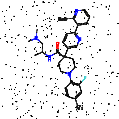 COc1ncccc1-c1ccc(C2(C(=O)NC(C)CN(C)C)CCN(c3ccc(C(F)(F)F)cc3F)CC2)cn1